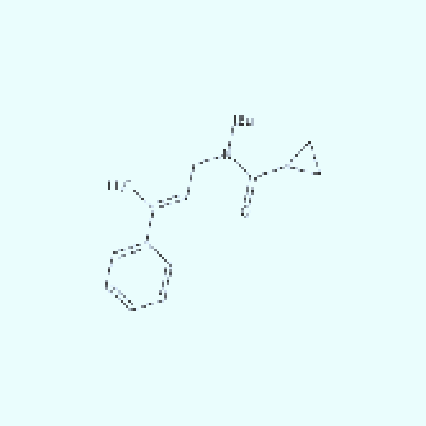 C/C(=C\CN(C(=O)C1CC1)C(C)(C)C)c1ccccc1